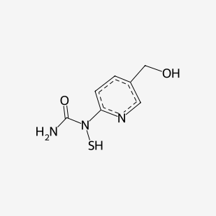 NC(=O)N(S)c1ccc(CO)cn1